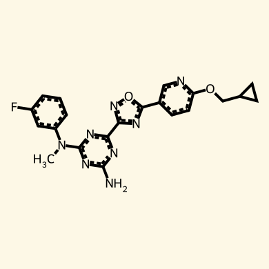 CN(c1cccc(F)c1)c1nc(N)nc(-c2noc(-c3ccc(OCC4CC4)nc3)n2)n1